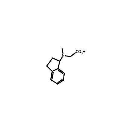 CN(CC(=O)O)C1CCc2ccccc21